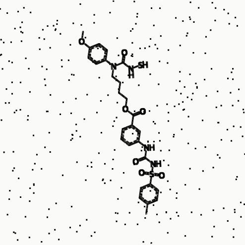 COc1ccc(N(CCCCOC(=O)c2cccc(NC(=O)NS(=O)(=O)c3ccc(C)cc3)c2)C(=O)NS)cc1